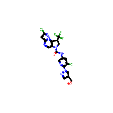 O=C(Nc1cnc(-n2cc(CO)cn2)c(Cl)c1)N1CC(C(F)(F)F)c2c1cnc1cc(Cl)nn21